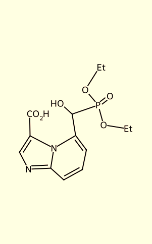 CCOP(=O)(OCC)C(O)c1cccc2ncc(C(=O)O)n12